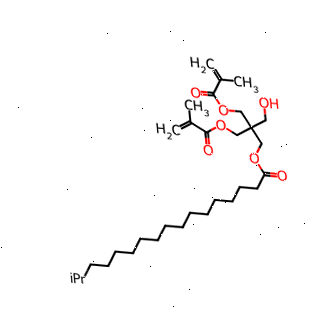 C=C(C)C(=O)OCC(CO)(COC(=O)CCCCCCCCCCCCCCC(C)C)COC(=O)C(=C)C